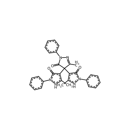 CC1=NN(c2ccccc2)C(=O)C1(c1c(C)[nH]n(-c2ccccc2)c1=O)c1c(C)[nH]n(-c2ccccc2)c1=O